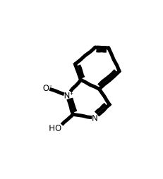 [O-][n+]1c(O)ncc2ccccc21